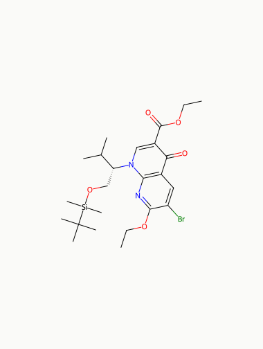 CCOC(=O)c1cn([C@H](CO[Si](C)(C)C(C)(C)C)C(C)C)c2nc(OCC)c(Br)cc2c1=O